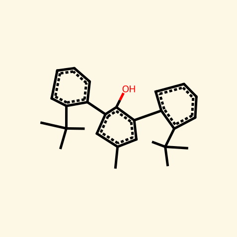 Cc1cc(-c2ccccc2C(C)(C)C)c(O)c(-c2ccccc2C(C)(C)C)c1